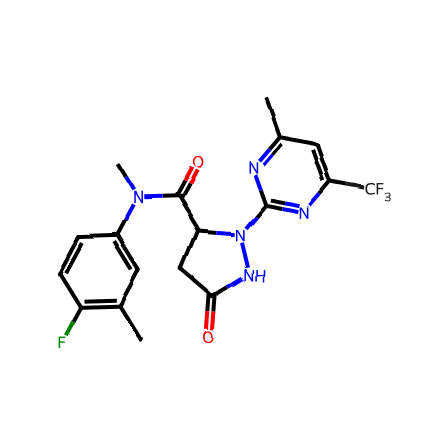 Cc1cc(C(F)(F)F)nc(N2NC(=O)CC2C(=O)N(C)c2ccc(F)c(C)c2)n1